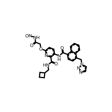 O=NNC(=O)COc1ccc(NC(=O)c2ccc(Cn3ccnn3)c3ccccc23)c(C(=O)NCC2CCC2)n1